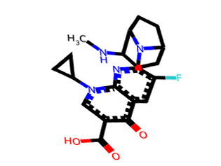 CNC1CCC2CCC1N2c1nc2c(cc1F)c(=O)c(C(=O)O)cn2C1CC1